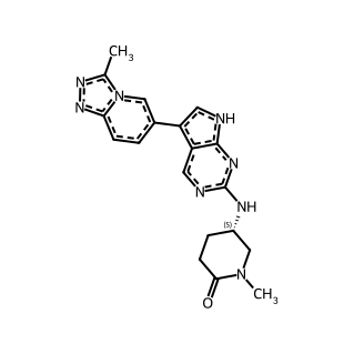 Cc1nnc2ccc(-c3c[nH]c4nc(N[C@H]5CCC(=O)N(C)C5)ncc34)cn12